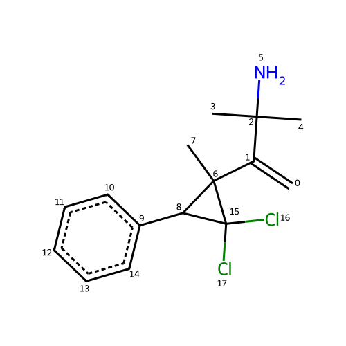 C=C(C(C)(C)N)C1(C)C(c2ccccc2)C1(Cl)Cl